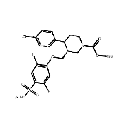 CC(=O)NS(=O)(=O)c1cc(F)c(OC[C@@H]2CN(C(=O)OC(C)(C)C)CCC2c2ccc(Cl)cc2)cc1F